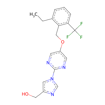 CCc1cccc(C(F)(F)F)c1COc1cnc(-n2cnc(CO)c2)nc1